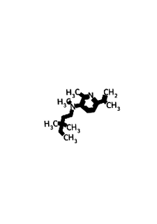 C=C(C)c1ccc(N(C)CCC(C)(C)CC)c(C)n1